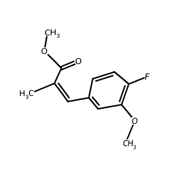 COC(=O)C(C)=Cc1ccc(F)c(OC)c1